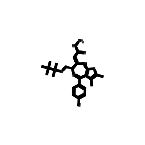 Cc1sc2c(c1C)C(c1ccc(Cl)cc1)=N[C@@H](CO[Si](C)(C)C(C)(C)C)/C(=C/C(=O)NN)N2